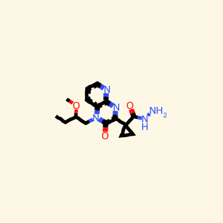 CCC(Cn1c(=O)c(C2(C(=O)NN)CC2)nc2ncccc21)OC